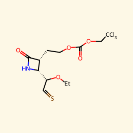 CCOC(C=S)[C@@H]1NC(=O)[C@@H]1CCOC(=O)OCC(Cl)(Cl)Cl